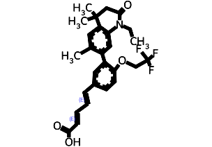 CCN1C(=O)CC(C)(C)c2cc(C)c(-c3cc(/C=C/C=C/C(=O)O)ccc3OCC(F)(F)F)cc21